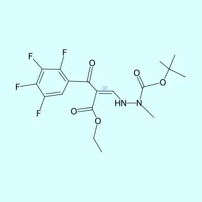 CCOC(=O)/C(=C\NN(C)C(=O)OC(C)(C)C)C(=O)c1cc(F)c(F)c(F)c1F